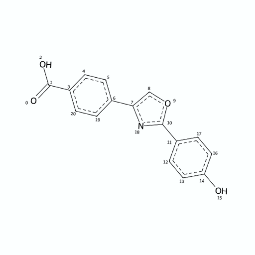 O=C(O)c1ccc(-c2coc(-c3ccc(O)cc3)n2)cc1